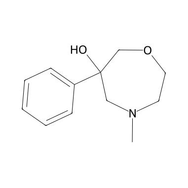 CN1CCOCC(O)(c2ccccc2)C1